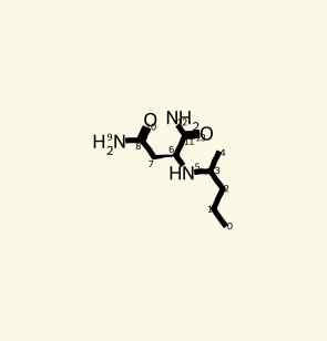 CCCC(C)N[C@@H](CC(N)=O)C(N)=O